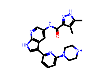 Cc1[nH]nc(C(=O)Nc2cnc3[nH]cc(-c4cccc(N5CCNCC5)n4)c3c2)c1C